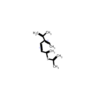 C=C(C)SC(=C)/C=C\C(=C/C)C(=C)C